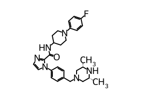 C[C@@H]1CN(Cc2ccc(-n3ccnc3C(=O)NC3CCN(c4ccc(F)cc4)CC3)cc2)C[C@H](C)N1